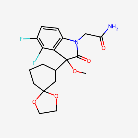 COC1(C2CCCC3(C2)OCCO3)C(=O)N(CC(N)=O)c2ccc(F)c(F)c21